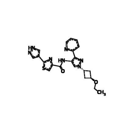 CCO[C@H]1C[C@H](n2cc(NC(=O)c3csc(-c4cn[nH]c4)n3)c(-c3ccccn3)n2)C1